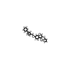 O=c1c(Cc2cccs2)coc2cc(OCc3cnn(-c4ccccc4)c3)ccc12